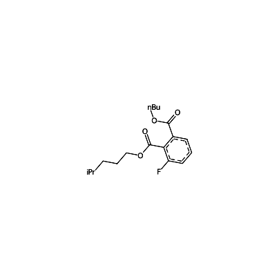 CCCCOC(=O)c1cccc(F)c1C(=O)OCCCC(C)C